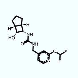 O=C(NCc1ccnc(OC(F)F)c1)N[C@@H]1[C@H](O)[C@@H]2CCC[C@@H]21